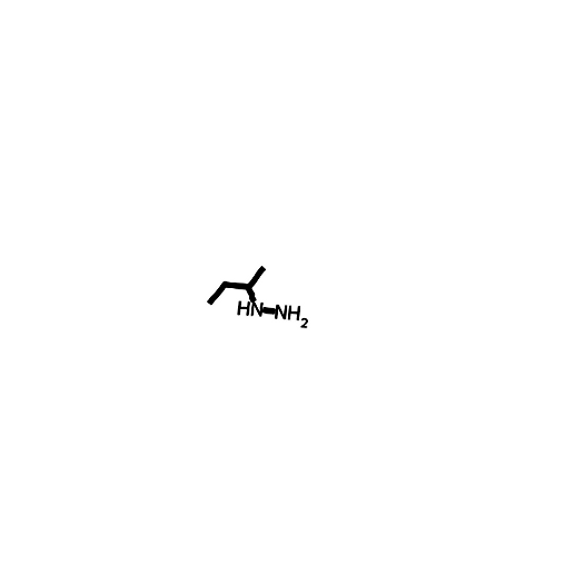 CCC(C)NN